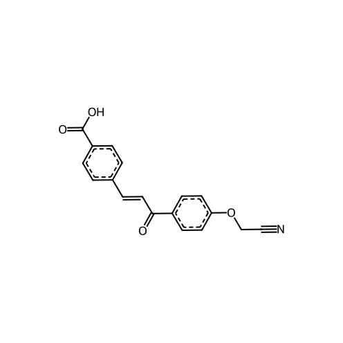 N#CCOc1ccc(C(=O)/C=C/c2ccc(C(=O)O)cc2)cc1